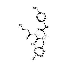 N#Cc1ccc(NC(=O)N[C@@H](Cc2ccc(Cl)cc2)C(=N)NC(=O)CCO)cc1